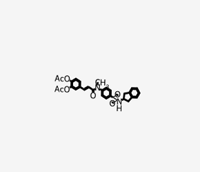 CC(=O)Oc1ccc(C=CC(=O)N(C)c2ccc(S(=O)(=O)NC3Cc4ccccc4C3)cc2)cc1OC(C)=O